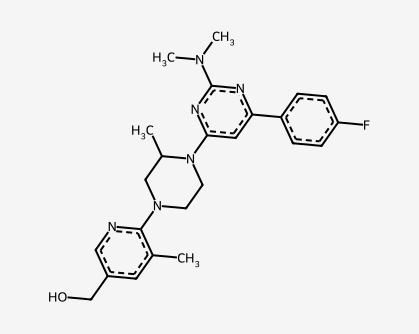 Cc1cc(CO)cnc1N1CCN(c2cc(-c3ccc(F)cc3)nc(N(C)C)n2)C(C)C1